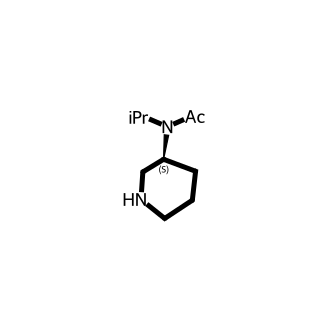 CC(=O)N(C(C)C)[C@H]1CCCNC1